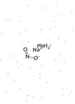 O=N[O-].[Na+].[PbH2]